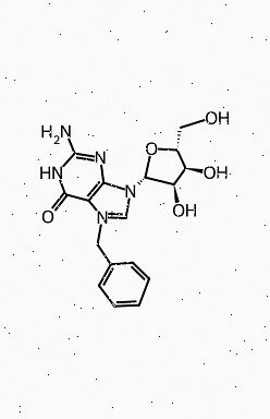 Nc1nc2c(c(=O)[nH]1)[n+](Cc1ccccc1)cn2[C@@H]1O[C@H](CO)[C@@H](O)[C@H]1O